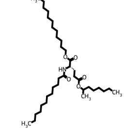 CCCCCCCCCCCCOC(=O)[C@H](CCC(=O)OC(C)CCCCCC)NC(=O)CCCCCCCCCCC